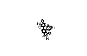 O=C1CCC(c2ccc3c(c2N2CCNCC2)C(=O)NC3=O)C(=O)N1